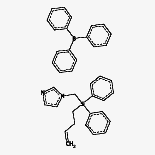 C=CCC[Si](Cn1ccnc1)(c1ccccc1)c1ccccc1.c1ccc(B(c2ccccc2)c2ccccc2)cc1